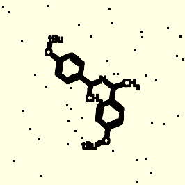 CC([N]C(C)c1ccc(OC(C)(C)C)cc1)c1ccc(OC(C)(C)C)cc1